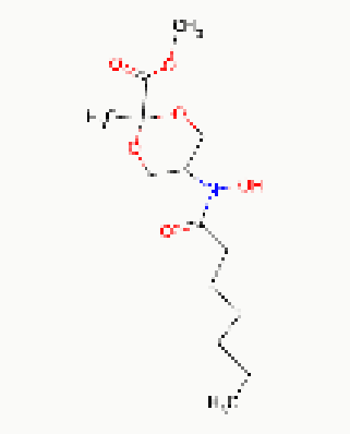 CCCCCCC(=O)N(O)C1COC(C)(C(=O)OC)OC1